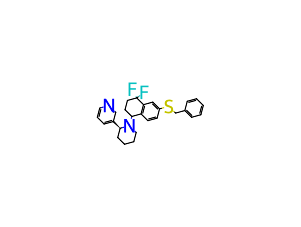 FC1(F)CCC(N2CCCC[C@H]2c2cccnc2)c2ccc(SCc3ccccc3)cc21